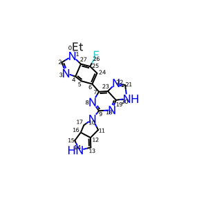 CCn1cnc2cc(-c3nc(N4CC5=CNCC5C4)nc4[nH]cnc34)cc(F)c21